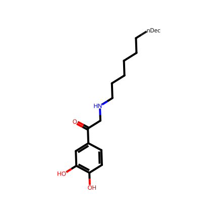 CCCCCCCCCCCCCCCCNCC(=O)c1ccc(O)c(O)c1